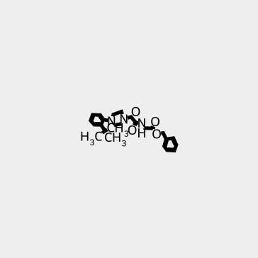 CC(C)(C)c1ccccc1N1CCN(C(=O)C(=O)NCC(=O)OCc2ccccc2)CC1